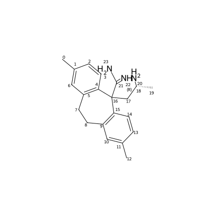 Cc1ccc2c(c1)CCc1cc(C)ccc1C2(C[C@@H](C)N)C(=N)N